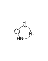 CN1CCCNCc2cccc(c2)CNCCC1